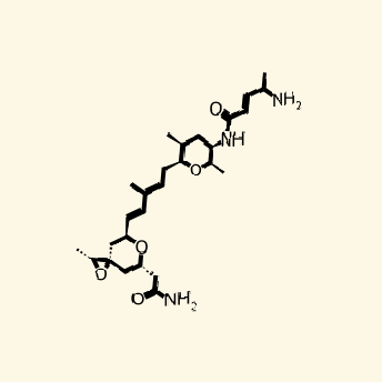 CC(/C=C/[C@@H]1C[C@]2(C[C@@H](CC(N)=O)O1)O[C@@H]2C)=C\C[C@@H]1O[C@H](C)[C@H](NC(=O)/C=C/C(C)N)C[C@@H]1C